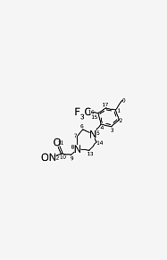 Cc1ccc(N2CCN(CC(=O)N=O)CC2)c(C(F)(F)F)c1